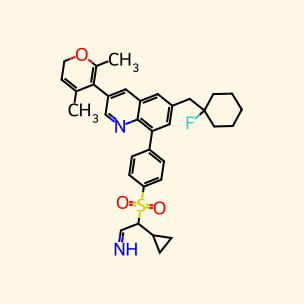 CC1=CCOC(C)=C1c1cnc2c(-c3ccc(S(=O)(=O)C(C=N)C4CC4)cc3)cc(CC3(F)CCCCC3)cc2c1